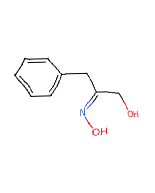 OCC(Cc1ccccc1)=NO